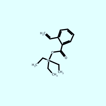 C=Cc1ccccc1C(=O)O[Si](CC)(CC)CC